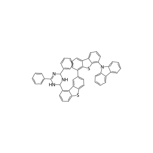 c1ccc(C2=NC(c3ccccc3)NC(c3cccc4sc5ccc(-c6cccc7c6sc6c(-n8c9ccccc9c9ccccc98)cccc67)cc5c34)N2)cc1